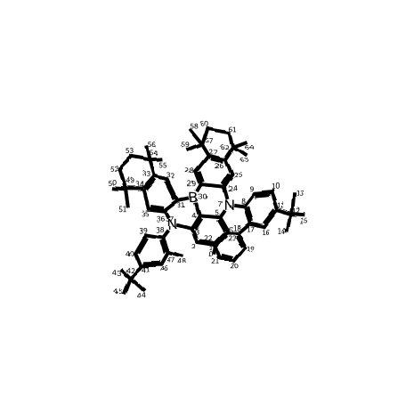 Cc1cc2c3c(c1)N(c1ccc(C(C)(C)C)cc1-c1ccccc1)c1cc4c(cc1B3c1cc3c(cc1N2c1ccc(C(C)(C)C)cc1C)C(C)(C)CCC3(C)C)C(C)(C)CCC4(C)C